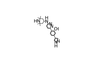 CC1(C)CC(Nc2ccc(-c3ccc(-c4cn[nH]c4)cc3OI)nn2)CC(C)(C)N1